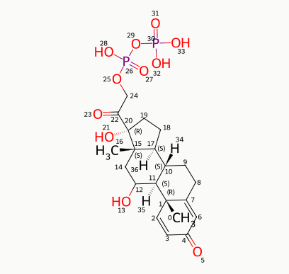 C[C@]12C=CC(=O)C=C1CC[C@@H]1[C@@H]2C(O)C[C@@]2(C)[C@H]1CC[C@]2(O)C(=O)COP(=O)(O)OP(=O)(O)O